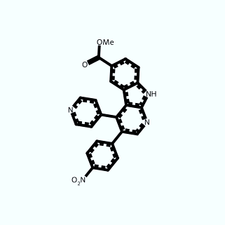 COC(=O)c1ccc2[nH]c3ncc(-c4ccc([N+](=O)[O-])cc4)c(-c4ccncc4)c3c2c1